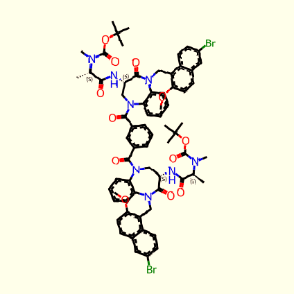 COc1ccc2cc(Br)ccc2c1CN1C(=O)[C@@H](NC(=O)[C@H](C)N(C)C(=O)OC(C)(C)C)CN(C(=O)c2cccc(C(=O)N3C[C@H](NC(=O)[C@H](C)N(C)C(=O)OC(C)(C)C)C(=O)N(Cc4c(OC)ccc5cc(Br)ccc45)c4ccccc43)c2)c2ccccc21